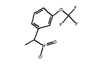 CC(c1cccc(OC(F)(F)F)c1)[N+](=O)[O-]